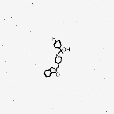 CC(O)(CN1CCC(CN2Cc3ccccc3C2=O)CC1)c1ccc(F)cc1